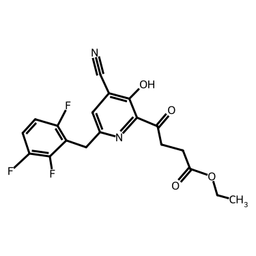 CCOC(=O)CCC(=O)c1nc(Cc2c(F)ccc(F)c2F)cc(C#N)c1O